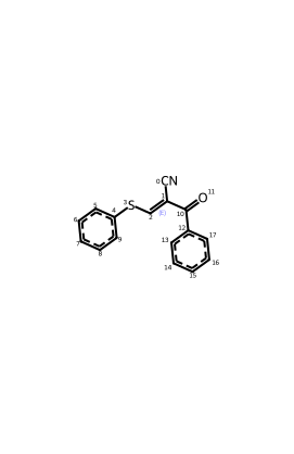 N#C/C(=C\Sc1ccccc1)C(=O)c1ccccc1